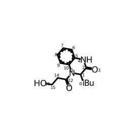 CCC(C)C1C(=O)Nc2ccccc2N1C(=O)CCO